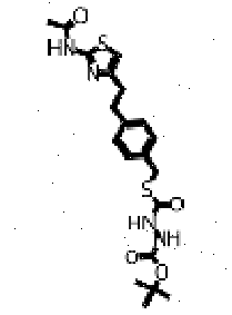 CC(=O)Nc1nc(CCc2ccc(CSC(=O)NNC(=O)OC(C)(C)C)cc2)cs1